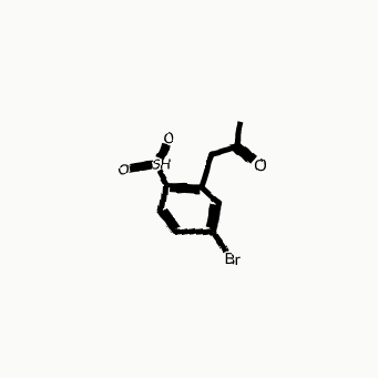 CC(=O)Cc1cc(Br)ccc1[SH](=O)=O